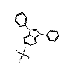 F[B-](F)(F)F.c1ccc(-n2c[n+](-c3ccccc3)c3ccccc32)cc1